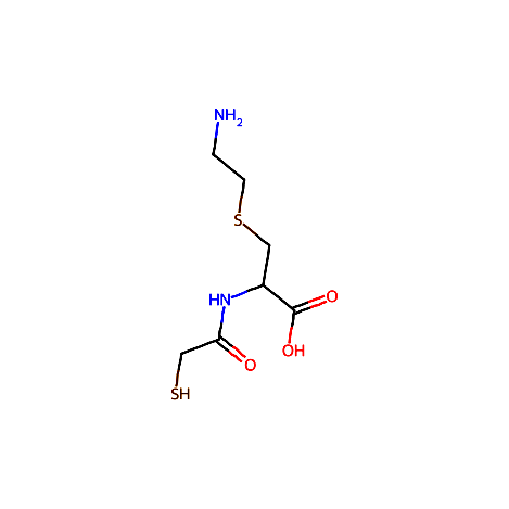 NCCSCC(NC(=O)CS)C(=O)O